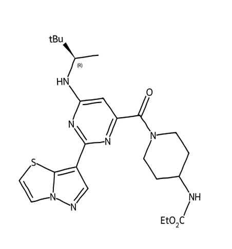 CCOC(=O)NC1CCN(C(=O)c2cc(N[C@H](C)C(C)(C)C)nc(-c3cnn4ccsc34)n2)CC1